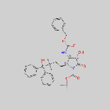 CC(C)(C)OC(=O)N1C(=O)[C@@H](O)[C@@H](NC(=O)OCc2ccccc2)[C@@H]1CCC(C)(C)[Si](O)(c1ccccc1)c1ccccc1